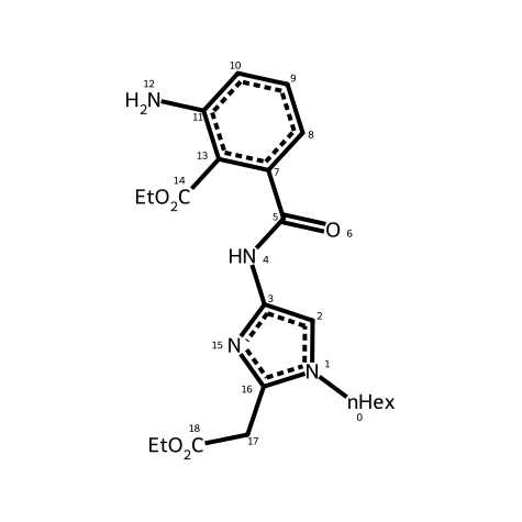 CCCCCCn1cc(NC(=O)c2cccc(N)c2C(=O)OCC)nc1CC(=O)OCC